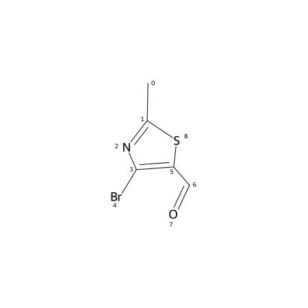 Cc1nc(Br)c(C=O)s1